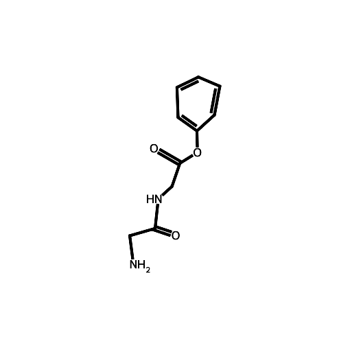 NCC(=O)NCC(=O)Oc1ccccc1